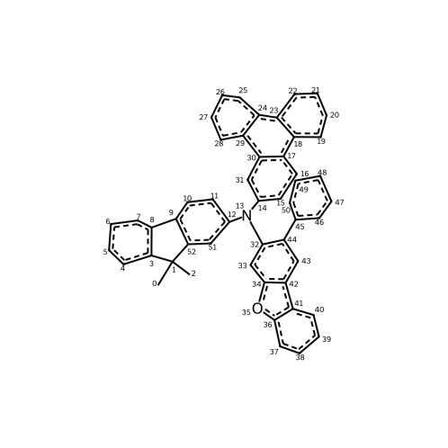 CC1(C)c2ccccc2-c2ccc(N(c3ccc4c5ccccc5c5ccccc5c4c3)c3cc4oc5ccccc5c4cc3-c3ccccc3)cc21